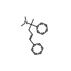 CN(C)C(C)(C/C=C/c1ccccc1)c1ccccc1